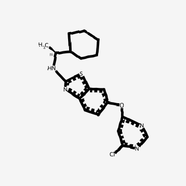 C[C@H](Nc1nc2ccc(Oc3cc(Cl)ncn3)cc2s1)C1CCCCC1